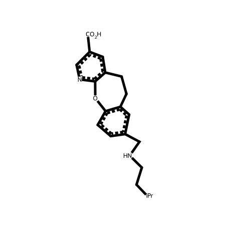 CC(C)CCNCc1ccc2c(c1)CCc1cc(C(=O)O)cnc1O2